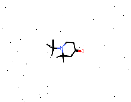 CC(C)(C)N1CCC(=O)CC1(C)C